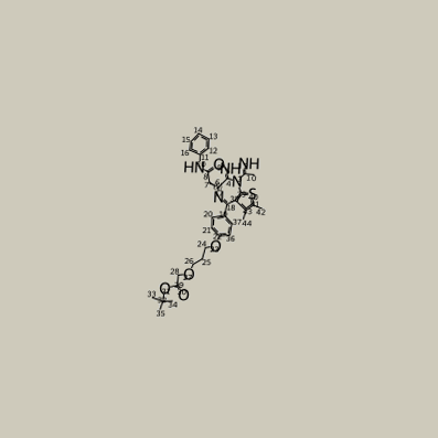 CC(=N)N1C(=N)[C@H](CC(=O)Nc2ccccc2)N=C(c2ccc(OCCCOCC(=O)OC(C)(C)C)cc2)c2c1sc(C)c2C